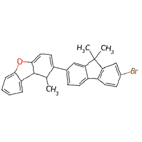 CC1C(c2ccc3c(c2)C(C)(C)c2cc(Br)ccc2-3)=CC=C2Oc3ccccc3C21